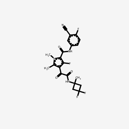 Cc1c(C(=O)C(=O)NC2(C)CC(F)(F)C2)c(F)c(C(=O)Nc2ccc(F)c(C#N)c2)n1C